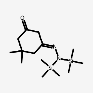 CC1(C)CC(=O)CC(=NN([Si](C)(C)C)[Si](C)(C)C)C1